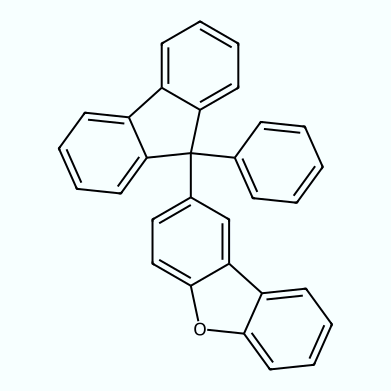 c1ccc(C2(c3ccc4oc5ccccc5c4c3)c3ccccc3-c3ccccc32)cc1